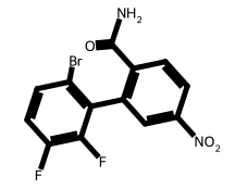 NC(=O)c1ccc([N+](=O)[O-])cc1-c1c(Br)ccc(F)c1F